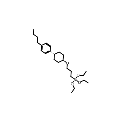 CCCCc1ccc([C@H]2CC[C@H](OCCC[Si](OCC)(OCC)OCC)CC2)cc1